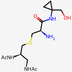 CC(=O)NC[C@H](CSC[C@H](N)C(=O)NC1(CO)CC1)NC(C)=O